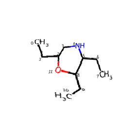 CCC1CNC(CC)C(CC)O1